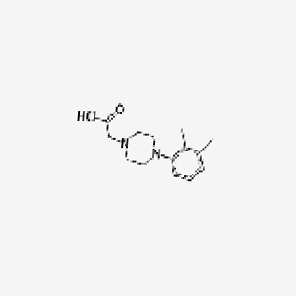 Cc1cccc(N2CCN(CC(=O)O)CC2)c1C